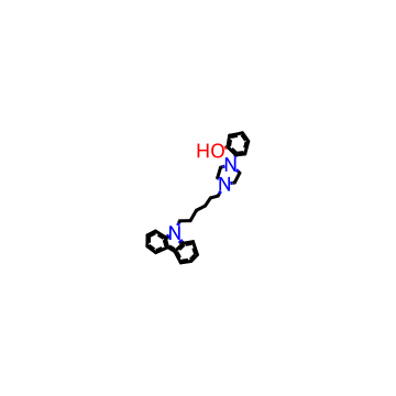 Oc1ccccc1N1CCN(CCCCCCn2c3ccccc3c3ccccc32)CC1